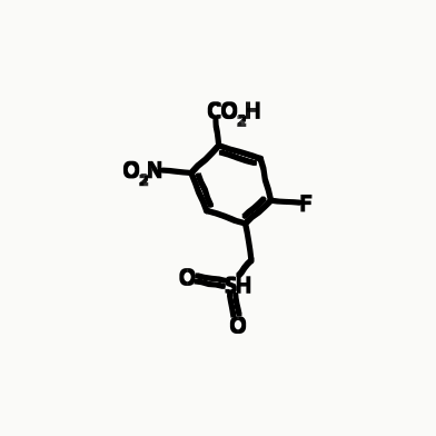 O=C(O)c1cc(F)c(C[SH](=O)=O)cc1[N+](=O)[O-]